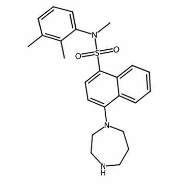 Cc1cccc(N(C)S(=O)(=O)c2ccc(N3CCCNCC3)c3ccccc23)c1C